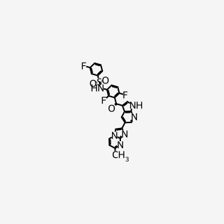 Cc1ccn2cc(-c3cnc4[nH]cc(C(=O)c5c(F)ccc(NS(=O)(=O)c6cccc(F)c6)c5F)c4c3)nc2n1